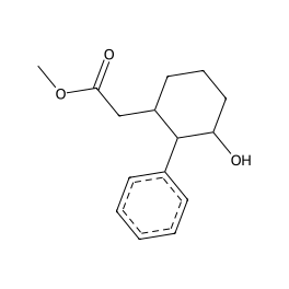 COC(=O)CC1CCCC(O)C1c1ccccc1